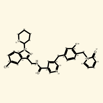 O=C(NCc1nn(C2CCCCO2)c2ccc(Cl)cc12)c1cncc(Cc2ccc(Cn3ccccc3=O)c(F)c2)c1